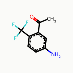 CC(=O)c1cc(N)ccc1C(F)(F)F